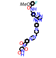 COc1ccc(F)cc1C(=O)NCc1ccc(-c2nn(-c3ccc(N4CCC(CN5CCN(c6ccc7c(c6)CN([C@H]6CCC(=O)NC6=O)C7=O)CC5)CC4)cc3)c3ncnc(N)c23)cc1